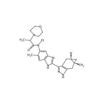 CCN(C(=O)C(C)N1CCOCC1)c1cc2nc(-c3n[nH]c4c3C[C@@H]3C[C@]3(C)C4)[nH]c2cc1C